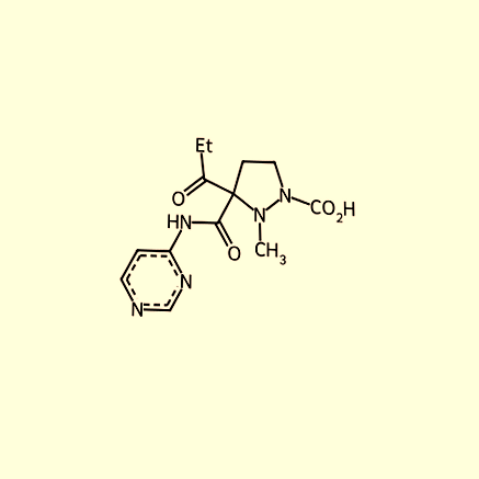 CCC(=O)C1(C(=O)Nc2ccncn2)CCN(C(=O)O)N1C